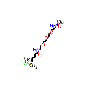 CC(C)(C)C(=O)NCCOCCOCCOCCNC(=O)CCCCS(C)(C)Cl